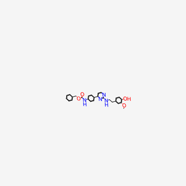 COc1cc(CCNc2nccc(-c3ccc(NC(=O)OCc4ccccc4)cc3)n2)ccc1O